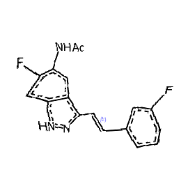 CC(=O)Nc1cc2c(/C=C/c3cccc(F)c3)n[nH]c2cc1F